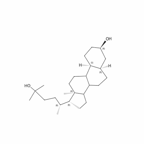 C[C@H](CCC(C)(C)O)[C@H]1CCC2C3CC[C@@H]4C[C@H](O)CC[C@@H]4C3CC[C@@]21C